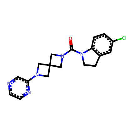 O=C(N1CC2(C1)CN(c1cnccn1)C2)N1CCc2cc(Cl)ccc21